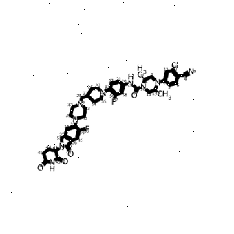 C[C@@H]1CN(c2ccc(C#N)c(Cl)c2)[C@@H](C)CN1C(=O)Nc1ccc(N2CCC(CN3CCN(c4cc5c(cc4F)C(=O)N(C4CCC(=O)NC4=O)C5)CC3)CC2)c(F)c1